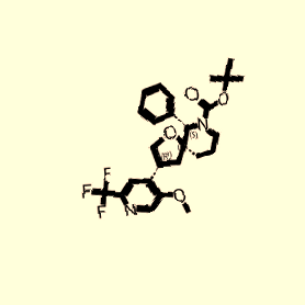 COc1cnc(C(F)(F)F)cc1[C@@H]1CO[C@]2(CCCN(C(=O)OC(C)(C)C)[C@H]2c2ccccc2)C1